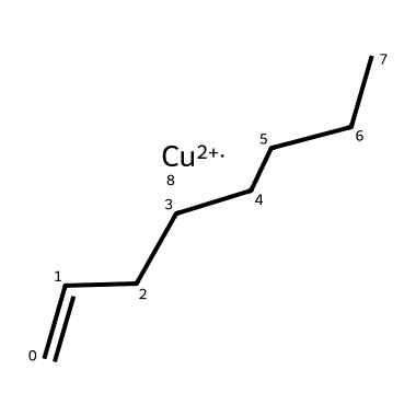 C=CCCCCCC.[Cu+2]